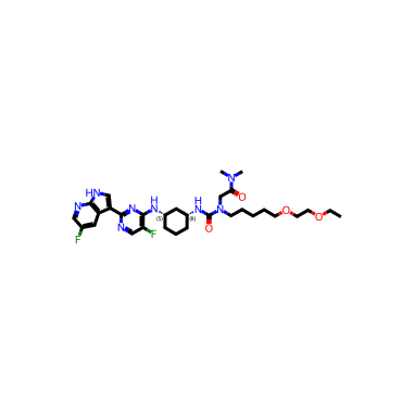 CCOCCOCCCCCN(CC(=O)N(C)C)C(=O)N[C@@H]1CCC[C@H](Nc2nc(-c3c[nH]c4ncc(F)cc34)ncc2F)C1